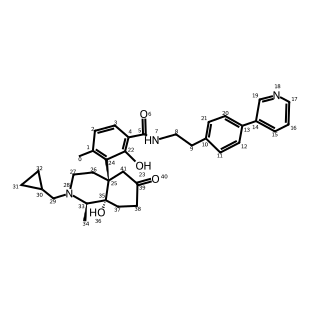 Cc1ccc(C(=O)NCCc2ccc(-c3cccnc3)cc2)c(O)c1[C@]12CCN(CC3CC3)[C@H](C)[C@]1(O)CCC(=O)C2